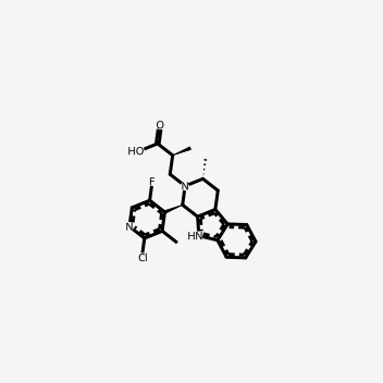 Cc1c(Cl)ncc(F)c1[C@@H]1c2[nH]c3ccccc3c2C[C@@H](C)N1C[C@H](C)C(=O)O